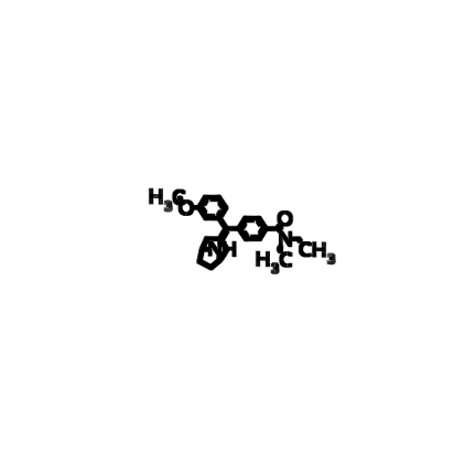 CCN(CC)C(=O)c1ccc(C(=C2CC3CCC(C2)N3)c2cccc(OC)c2)cc1